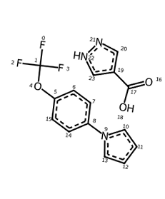 FC(F)(F)Oc1ccc(-n2cccc2)cc1.O=C(O)c1cn[nH]c1